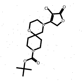 CC(C)(C)OC(=O)N1CCC2(CC1)CN(C1=C(Cl)C(=O)OC1)CCO2